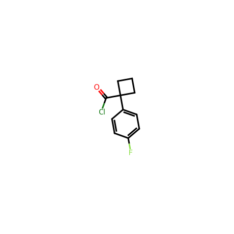 O=C(Cl)C1(c2ccc(F)cc2)CCC1